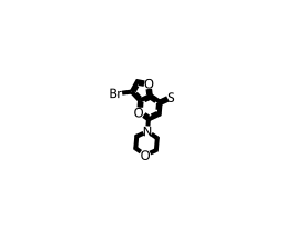 S=c1cc(N2CCOCC2)oc2c(Br)coc12